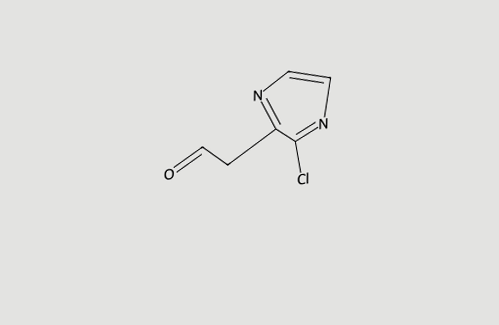 O=CCc1nccnc1Cl